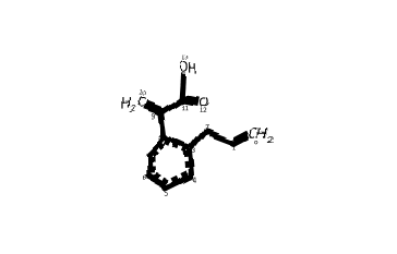 C=CCc1ccccc1C(=C)C(=O)O